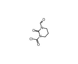 O=CN1CCCN(C(=O)Cl)C1=O